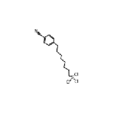 N#Cc1ccc(CCCCCCCC[Si](Cl)(Cl)Cl)cc1